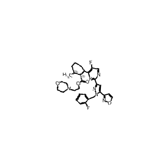 C[C@H]1CCCC(c2nc(-c3cc(-c4ccon4)n(Cc4ccccc4F)n3)ncc2F)[C@H]1C(=O)OCCN1CCOCC1